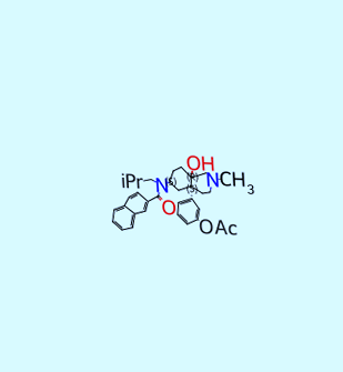 CC(=O)Oc1cccc([C@@]23CCN(C)C[C@@]2(O)CC[C@H](N(CC(C)C)C(=O)c2ccc4ccccc4c2)C3)c1